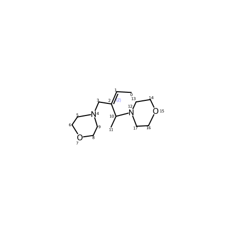 C/C=C(/CN1CCOCC1)C(C)N1CCOCC1